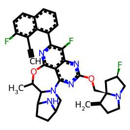 C#Cc1c(F)ccc2cccc(-c3nc4c5c(nc(OC[C@@]67C[C@@H](F)CN6CCC7=C)nc5c3F)N3CC5CCC(N5)C3C(C)O4)c12